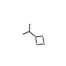 CC(C)N1SSS1